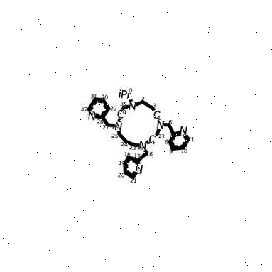 CC(C)N1CCCN(Cc2ccccn2)CCN(Cc2ccccn2)CCCN(Cc2ccccn2)CC1